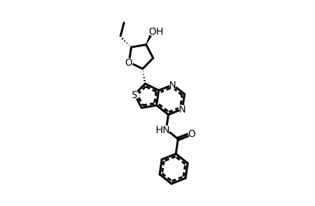 CC[C@H]1O[C@@H](c2scc3c(NC(=O)c4ccccc4)ncnc23)C[C@@H]1O